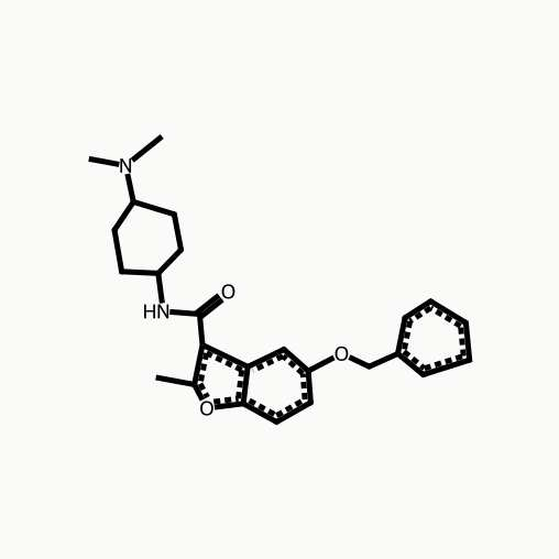 Cc1oc2ccc(OCc3ccccc3)cc2c1C(=O)NC1CCC(N(C)C)CC1